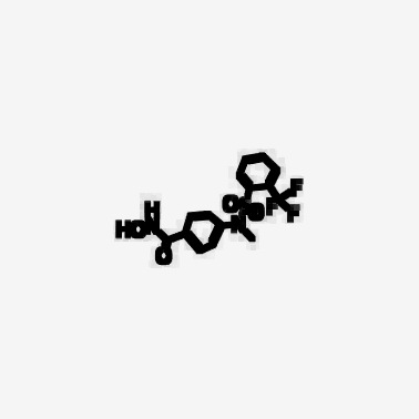 CN(c1ccc(C(=O)NO)cc1)S(=O)(=O)c1ccccc1C(F)(F)F